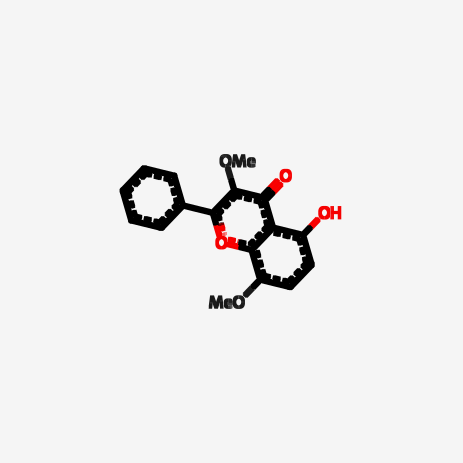 COc1c(-c2ccccc2)oc2c(OC)ccc(O)c2c1=O